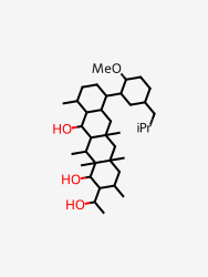 COC1CCC(CC(C)C)CC1C1CCC(C)C2C(O)C3C(C)C4(C)C(O)C(C(C)O)C(C)CC4(C)CC3(C)CC12